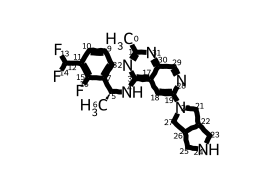 Cc1nc(N[C@H](C)c2cccc(C(F)F)c2F)c2cc(N3CC4CNCC4C3)ncc2n1